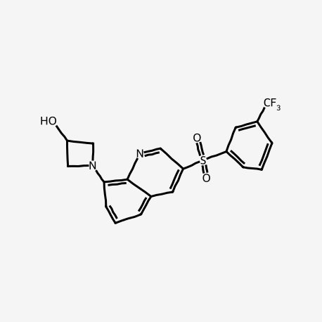 O=S(=O)(c1cccc(C(F)(F)F)c1)c1cnc2c(N3CC(O)C3)cccc2c1